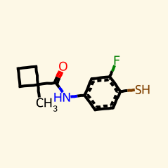 CC1(C(=O)Nc2ccc(S)c(F)c2)CCC1